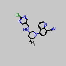 C[C@H]1C[C@@H](NCc2cnc(Cl)nc2)CN(c2ccc(C#N)c3ncccc23)C1